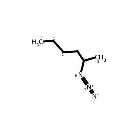 CCCCC(C)N=[N+]=[N-]